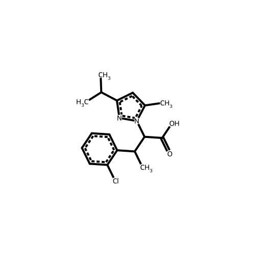 Cc1cc(C(C)C)nn1C(C(=O)O)C(C)c1ccccc1Cl